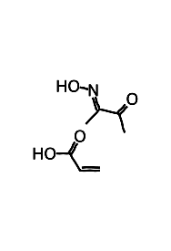 C=CC(=O)O.CC(=O)/C(C)=N/O